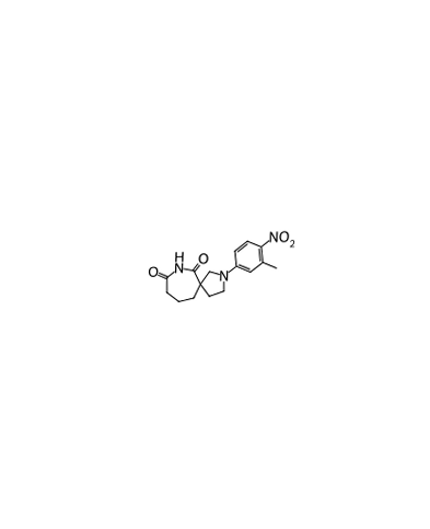 Cc1cc(N2CCC3(CCCC(=O)NC3=O)C2)ccc1[N+](=O)[O-]